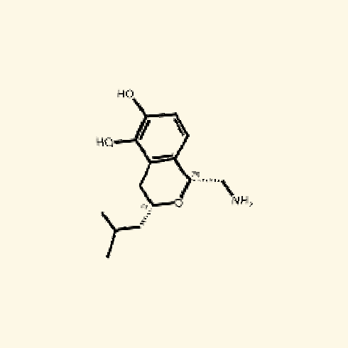 CC(C)C[C@@H]1Cc2c(ccc(O)c2O)[C@H](CN)O1